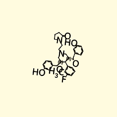 Cc1c(F)cccc1C1[C@@H](C(=O)c2cccc(O)c2)CN(CCN2CCCC2=O)C[C@@H]1C(=O)c1cccc(O)c1